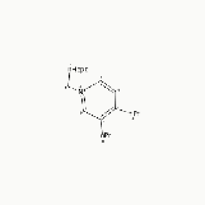 CCCCCCCC[n+]1ccc(CCC)c(CCC)c1